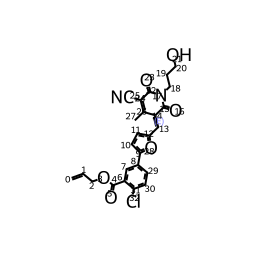 C=CCOC(=O)c1cc(-c2ccc(/C=C3/C(=O)N(CCCO)C(=O)C(C#N)=C3C)o2)ccc1Cl